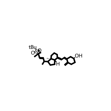 C=C1CC[C@H](O)C/C1=C/C=C1\CCC[C@]2(C)C(C(C)/C=C/C(C)(C)S(=O)(=O)C(C)(C)C)CC[C@@H]12